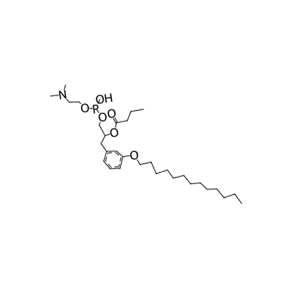 CCCCCCCCCCCCCOc1cccc(CC(COP(O)OCCN(C)C)OC(=O)CCC)c1